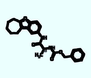 C[C@H](NC(=O)OCc1ccccc1)C(=O)Nc1ccc2oc3c(c2c1)CCCCC3